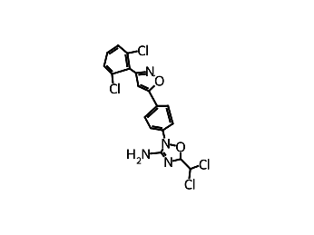 NC1=NC(C(Cl)Cl)ON1c1ccc(-c2cc(-c3c(Cl)cccc3Cl)no2)cc1